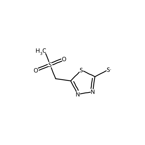 CS(=O)(=O)Cc1nnc([S])s1